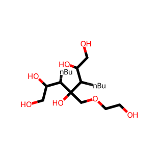 CCCCC(C(O)CO)C(O)(COCCO)C(CCCC)C(O)CO